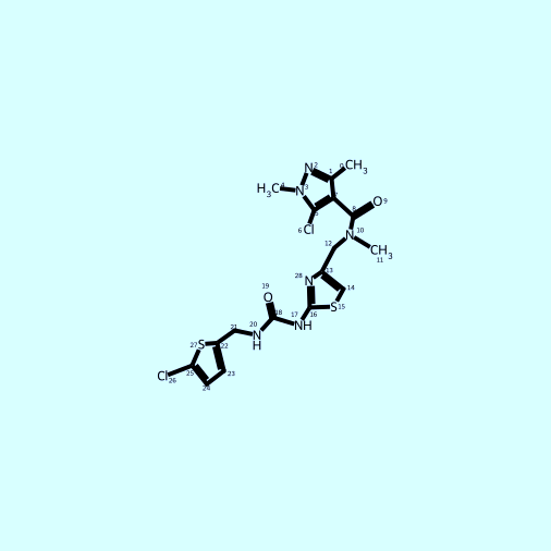 Cc1nn(C)c(Cl)c1C(=O)N(C)Cc1csc(NC(=O)NCc2ccc(Cl)s2)n1